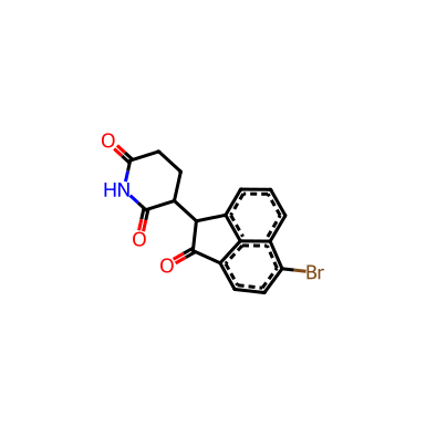 O=C1CCC(C2C(=O)c3ccc(Br)c4cccc2c34)C(=O)N1